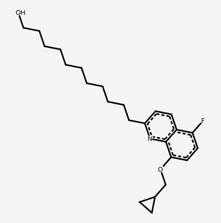 OCCCCCCCCCCCc1ccc2c(F)ccc(OCC3CC3)c2n1